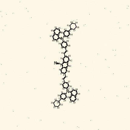 N#Cc1c2ccc(C=Cc3ccc(N(c4ccc(C5CCCCC5)cc4)c4cccc5ccccc45)cc3)cc2cc2ccc(C=Cc3ccc(N(c4ccc(C5CCCCC5)cc4)c4cccc5ccccc45)cc3)cc12